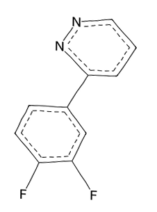 Fc1ccc(-c2cccnn2)cc1F